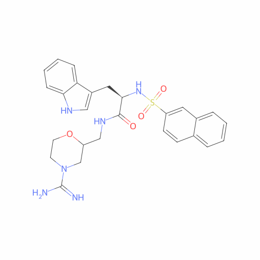 N=C(N)N1CCOC(CNC(=O)[C@@H](Cc2c[nH]c3ccccc23)NS(=O)(=O)c2ccc3ccccc3c2)C1